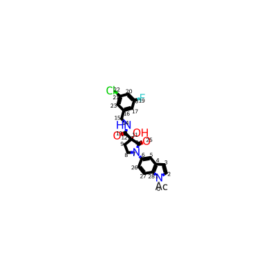 CC(=O)n1ccc2cc(N3CC[C@](O)(C(=O)NCc4cc(F)cc(Cl)c4)C3=O)ccc21